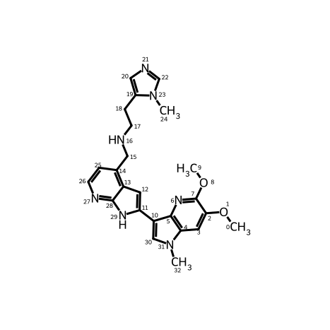 COc1cc2c(nc1OC)c(-c1cc3c(CNCCc4cncn4C)ccnc3[nH]1)cn2C